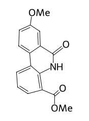 COC(=O)c1cccc2c1[nH]c(=O)c1cc(OC)ccc12